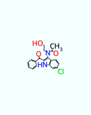 CC(=O)N(CCO)c1c(C(=O)c2ccccc2)[nH]c2cc(Cl)ccc12